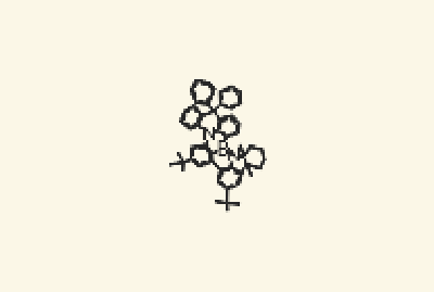 CC(C)(C)c1cc2c3c(c1)N1c4ccccc4C(c4ccccc4)(c4ccccc4)c4cccc(c41)B3N1c3c-2cc(C(C)(C)C)cc3C2(C)CCCCC12C